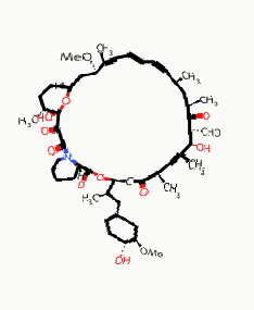 CO[C@H]1C[C@@H]2CC[C@@H](C)[C@@](O)(O2)C(=O)C(=O)N2CCCC[C@H]2C(=O)O[C@H]([C@H](C)C[C@@H]2CC[C@@H](O)[C@H](OC)C2)CC(=O)[C@H](C)/C=C(\C)[C@@H](O)[C@@H](C=O)C(=O)[C@H](C)C[C@H](C)/C=C/C=C/C=C/1C